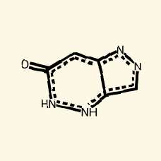 O=c1cc2nncc-2[nH][nH]1